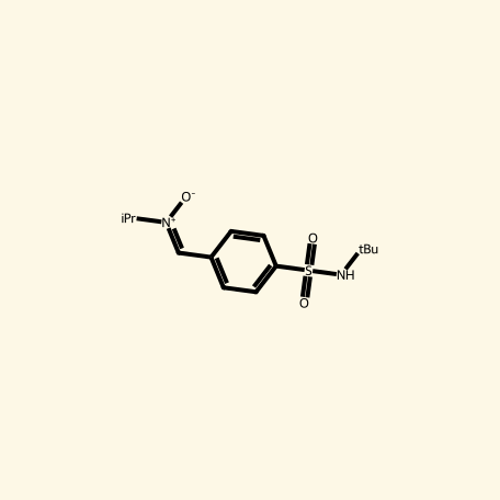 CC(C)[N+]([O-])=Cc1ccc(S(=O)(=O)NC(C)(C)C)cc1